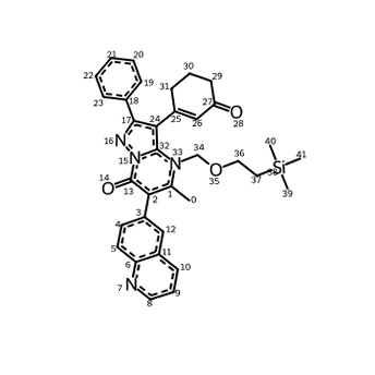 Cc1c(-c2ccc3ncccc3c2)c(=O)n2nc(-c3ccccc3)c(C3=CC(=O)CCC3)c2n1COCC[Si](C)(C)C